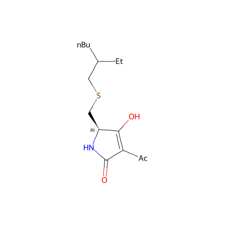 CCCCC(CC)CSC[C@@H]1NC(=O)C(C(C)=O)=C1O